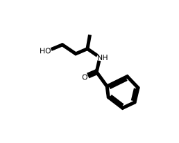 CC(CCO)NC(=O)c1ccccc1